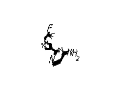 Nc1ccnc(-c2cnn(CC(F)F)c2)n1